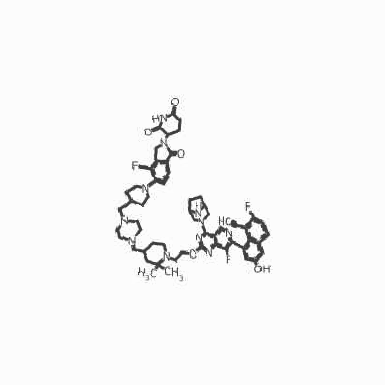 C#Cc1c(F)ccc2cc(O)cc(-c3ncc4c(N5CC6CCC(C5)N6)nc(OCCN5CCC(CN6CCN(CC7CCN(c8ccc9c(c8F)CN(C8CCC(=O)NC8=O)C9=O)CC7)CC6)CC5(C)C)nc4c3F)c12